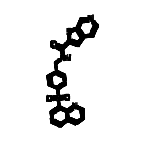 O=C(NCc1ccc(S(=O)(=O)c2cccc3cccnc23)cc1)c1cc2ccncc2s1